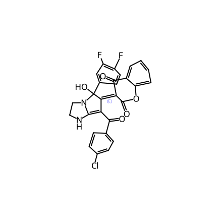 O=C1Oc2ccccc2C(=O)/C1=C1/C(C(=O)c2ccc(Cl)cc2)=C2NCCN2C1(O)c1ccc(F)c(F)c1